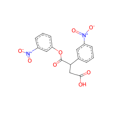 O=C(O)CC(C(=O)Oc1cccc([N+](=O)[O-])c1)c1cccc([N+](=O)[O-])c1